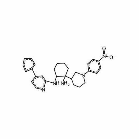 NC1(C2CCCN(c3ccc([N+](=O)[O-])cc3)C2)CCCCC1Nc1cc(-c2ccccc2)ccn1